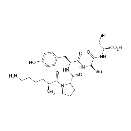 CC[C@H](C)[C@H](NC(=O)[C@H](Cc1ccc(O)cc1)NC(=O)[C@@H]1CCCN1C(=O)[C@@H](N)CCCCN)C(=O)N[C@@H](CC(C)C)C(=O)O